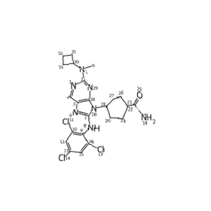 CN(c1ncc2nc(Nc3c(Cl)cc(Cl)cc3Cl)n(C3CCC(C(N)=O)CC3)c2n1)C1CCC1